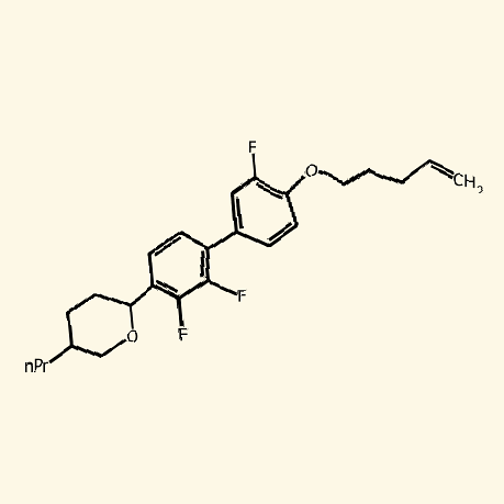 C=CCCCOc1ccc(-c2ccc(C3CCC(CCC)CO3)c(F)c2F)cc1F